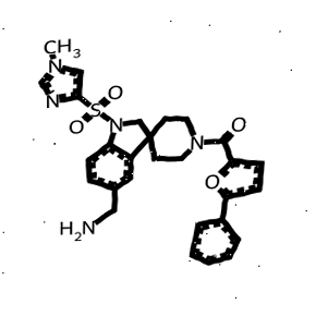 Cn1cnc(S(=O)(=O)N2CC3(CCN(C(=O)c4ccc(-c5ccccc5)o4)CC3)c3cc(CN)ccc32)c1